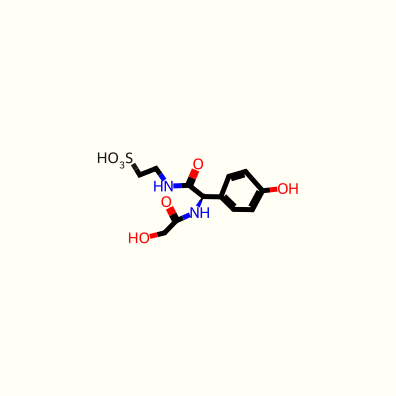 O=C(CO)N[C@@H](C(=O)NCCS(=O)(=O)O)c1ccc(O)cc1